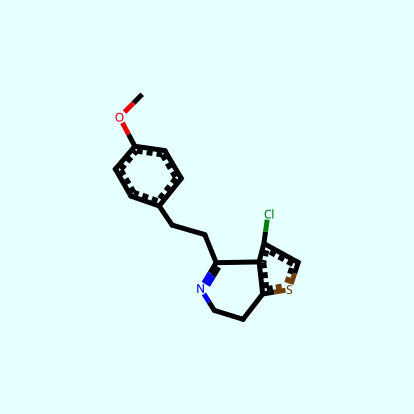 COc1ccc(CCC2=NCCc3scc(Cl)c32)cc1